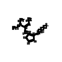 CCC=C(CC)P(C(C)C)C(C)C.[Cl-].[Cl-].[Cl-].[Zr+3][C]1=CCC=C1